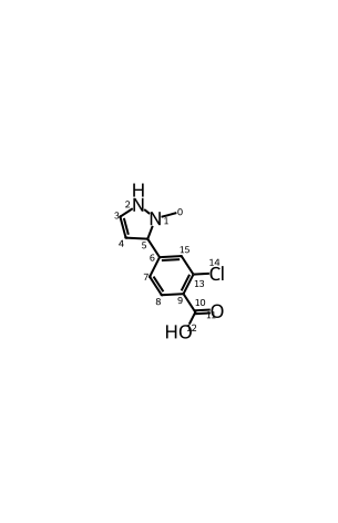 CN1NC=CC1c1ccc(C(=O)O)c(Cl)c1